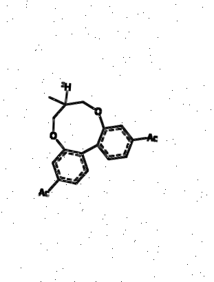 [2H]C1(C)COc2cc(C(C)=O)ccc2-c2ccc(C(C)=O)cc2OC1